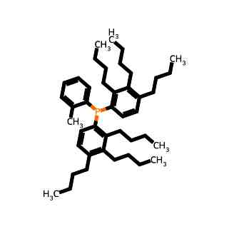 CCCCc1ccc(P(c2ccccc2C)c2ccc(CCCC)c(CCCC)c2CCCC)c(CCCC)c1CCCC